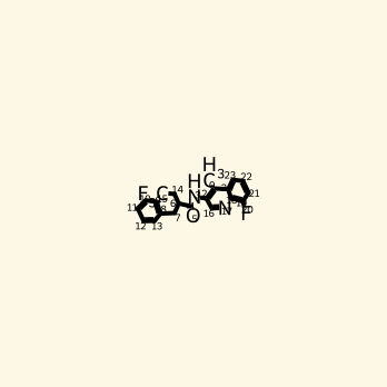 Cc1c(NC(=O)C(Cc2ccccc2)CC(F)(F)F)cnc2c(F)cccc12